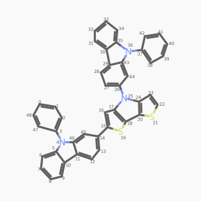 c1ccc(-n2c3ccccc3c3ccc(-c4cc5c(s4)c4sccc4n5-c4ccc5c6ccccc6n(-c6ccccc6)c5c4)cc32)cc1